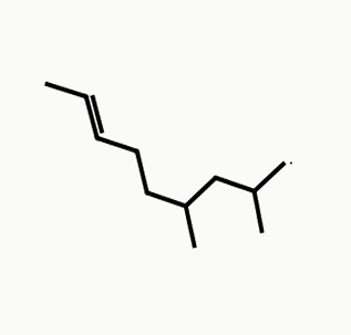 [CH2]C(C)CC(C)CC/C=C/C